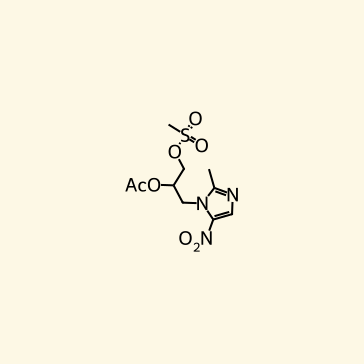 CC(=O)OC(COS(C)(=O)=O)Cn1c([N+](=O)[O-])cnc1C